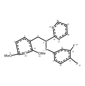 COc1ccc(CN(Sc2ccc(F)c(F)c2)c2ncccn2)c(OC)c1